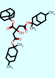 CC1CC2CC(C1)CC(C)(OC(=O)CC(O)(CC(=O)OC1(C)CC3CC(C)CC(C3)C1)C(=O)OC13CC4CC(CC(C4)C1)C3)C2